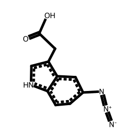 [N-]=[N+]=Nc1ccc2[nH]cc(CC(=O)O)c2c1